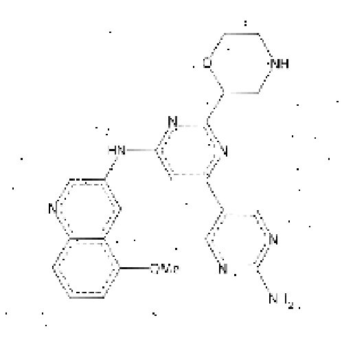 COc1cccc2ncc(Nc3cc(-c4cnc(N)nc4)nc(C4CNCCO4)n3)cc12